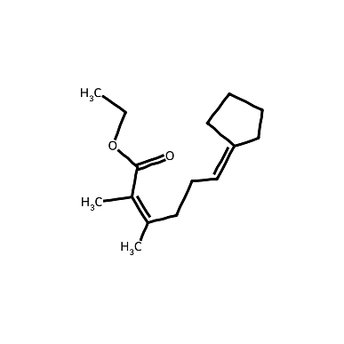 CCOC(=O)C(C)=C(C)CCC=C1CCCC1